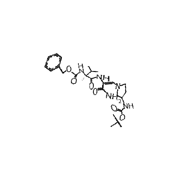 CC(C)[C@](C)(NC(=O)OCc1ccccc1)C(=O)NC(=CN1CCC(NC(=O)OC(C)(C)C)C1)C(N)=O